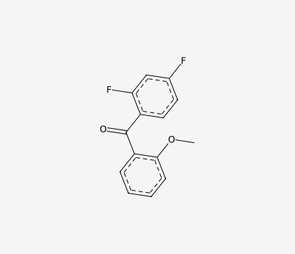 COc1ccccc1C(=O)c1ccc(F)cc1F